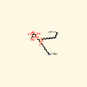 CCCCC/C=C\C/C=C\CCCCCCCC(=O)OC(COC(=O)CCCCCCC/C=C\CCCCCC)COC1OC(CO)C(O)C(O)C1O